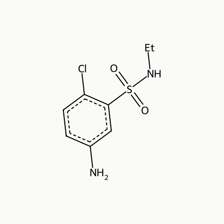 CCNS(=O)(=O)c1cc(N)ccc1Cl